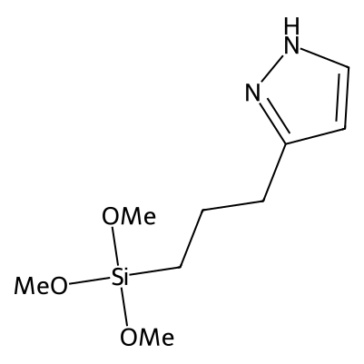 CO[Si](CCCc1cc[nH]n1)(OC)OC